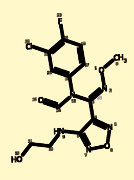 CO/N=C(/c1nonc1NCCO)N(C=O)c1ccc(F)c(Cl)c1